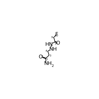 NC(=O)CCNNC(=O)CF